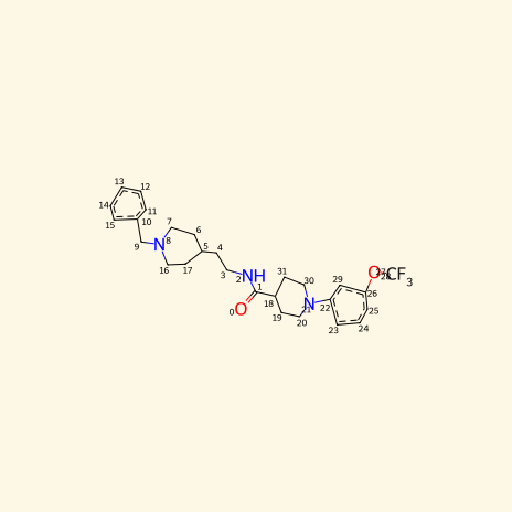 O=C(NCCC1CCN(Cc2ccccc2)CC1)C1CCN(c2cccc(OC(F)(F)F)c2)CC1